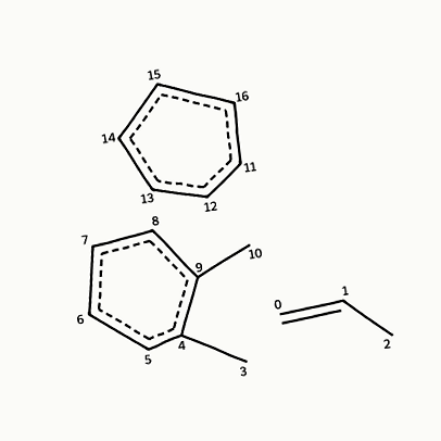 C=CC.Cc1ccccc1C.c1ccccc1